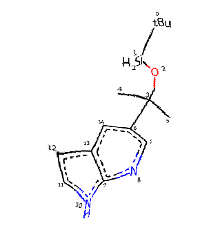 CC(C)(C)[SiH2]OC(C)(C)c1cnc2[nH]ccc2c1